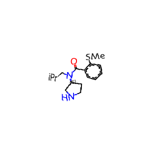 CSc1ccccc1C(=O)N(CC(C)C)[C@H]1CCNC1